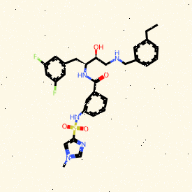 CCc1cccc(CNC[C@H](O)[C@H](Cc2cc(F)cc(F)c2)NC(=O)c2cccc(NS(=O)(=O)c3cn(C)cn3)c2)c1